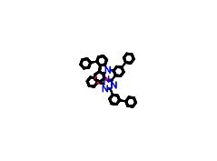 c1ccc(-c2cccc(-c3nc(-c4ccccc4)nc(-c4ccc(-c5ccccc5)cc4-n4c5ccccc5c5c(-c6ccccc6)cccc54)n3)c2)cc1